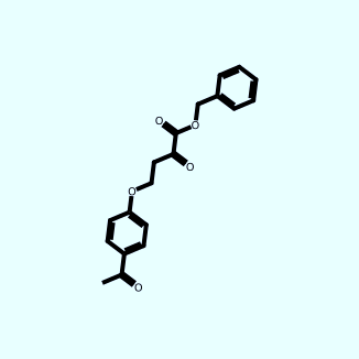 CC(=O)c1ccc(OCCC(=O)C(=O)OCc2ccccc2)cc1